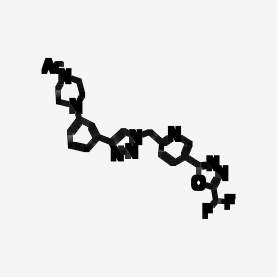 CC(=O)N1CCN(c2cccc(-c3cn(Cc4ccc(-c5nnc(C(F)F)o5)cn4)nn3)c2)CC1